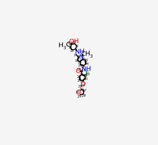 Cn1c(CNC2CCC(C)(O)CC2)cc2cc(NC(=O)c3ccc(OC[C@@H]4CCCO4)cc3F)ccc21